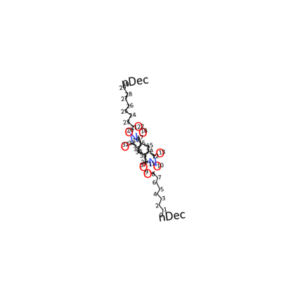 CCCCCCCCCCCCCCCCCC(=O)On1c(=O)c2cc3c(=O)n(OC(=O)CCCCCCCCCCCCCCCCC)c(=O)c3cc2c1=O